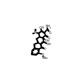 CCCCOc1cccc2c1C(=O)C1=C(O)C3(O)C(=O)C(C(N)=O)=C(O)C(N(C)C)C3CC1C2